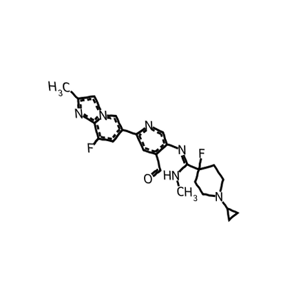 CN/C(=N\c1cnc(-c2cc(F)c3nc(C)cn3c2)cc1C=O)C1(F)CCN(C2CC2)CC1